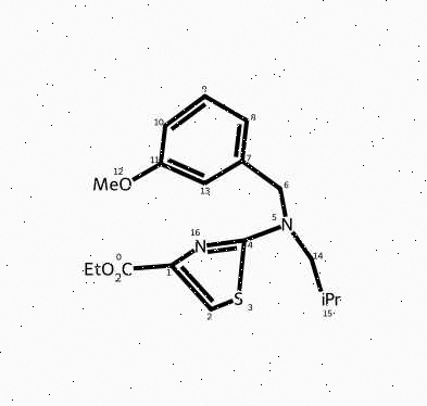 CCOC(=O)c1csc(N(Cc2cccc(OC)c2)CC(C)C)n1